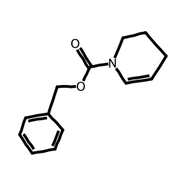 O=C(OCc1ccccc1)N1C=CCCC1